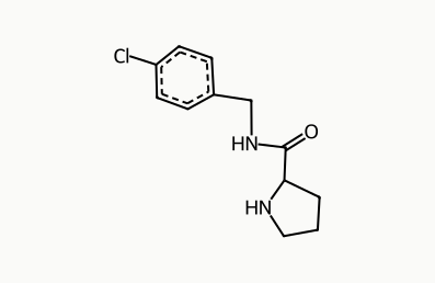 O=C(NCc1ccc(Cl)cc1)C1CCCN1